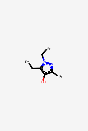 CCCc1nn(CC(C)C)c(CC(C)C)c1O